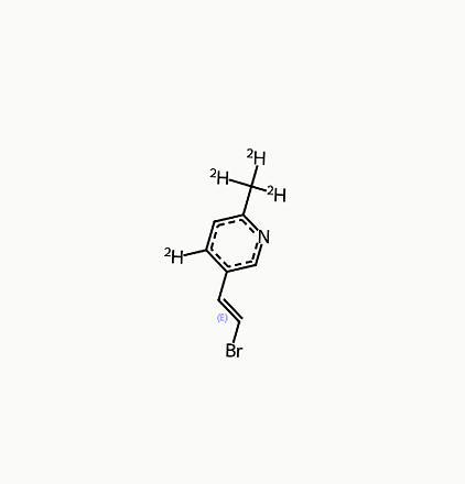 [2H]c1cc(C([2H])([2H])[2H])ncc1/C=C/Br